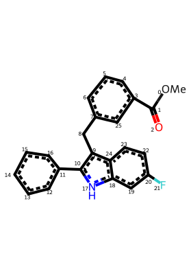 COC(=O)c1cccc(Cc2c(-c3ccccc3)[nH]c3cc(F)ccc23)c1